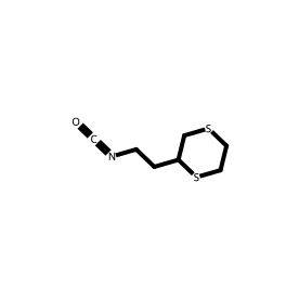 O=C=NCCC1CSCCS1